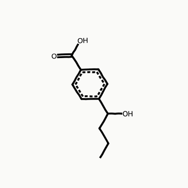 CCCC(O)c1ccc(C(=O)O)cc1